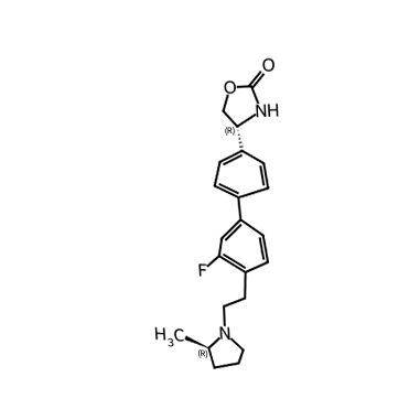 C[C@@H]1CCCN1CCc1ccc(-c2ccc([C@@H]3COC(=O)N3)cc2)cc1F